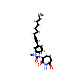 Cn1c(=O)n(C2CCCC(=O)NC2=O)c2ccc(C#CCCCCCCC(C)(C)C)cc21